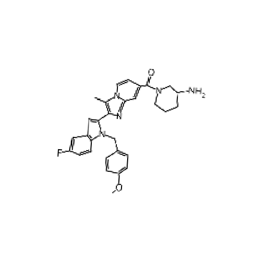 COc1ccc(Cn2c(-c3nc4cc(C(=O)N5CCCC(N)C5)ccn4c3C)cc3cc(F)ccc32)cc1